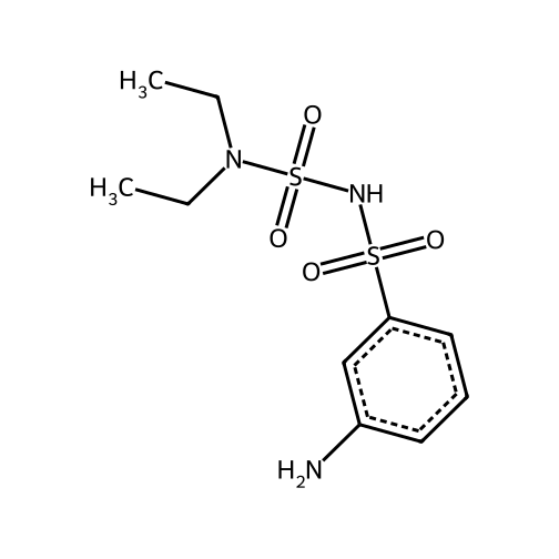 CCN(CC)S(=O)(=O)NS(=O)(=O)c1cccc(N)c1